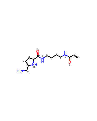 C=CC(=O)NCCCCNC(=O)C1CCC(CN)N1